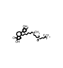 CN(CCCCCCC1=C(c2ccc(F)c(O)c2)CCCc2c1ccc(O)c2Cl)CCCS(=O)(=O)CCCC(F)(F)C(F)(F)F